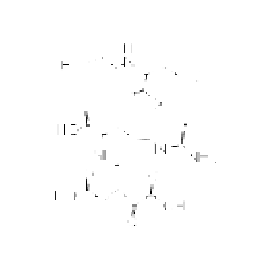 CCCNC(CCO)C(=O)O.N=C(N)NCCCC(N)C(=O)O.O=C(O)CCC(=O)C(=O)O